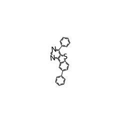 c1ccc(-c2ccc3sc4c(-c5ccccc5)ncnc4c3c2)cc1